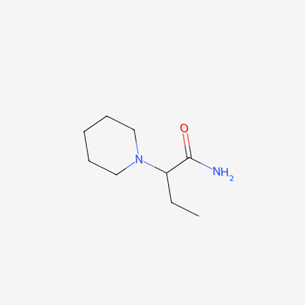 CCC(C(N)=O)N1CCCCC1